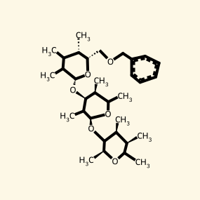 CC1C(C)[C@H](C)[C@H](COCc2ccccc2)O[C@@H]1O[C@@H]1C(C)[C@H](OC2[C@H](C)OC(C)[C@H](C)[C@@H]2C)OC(C)[C@@H]1C